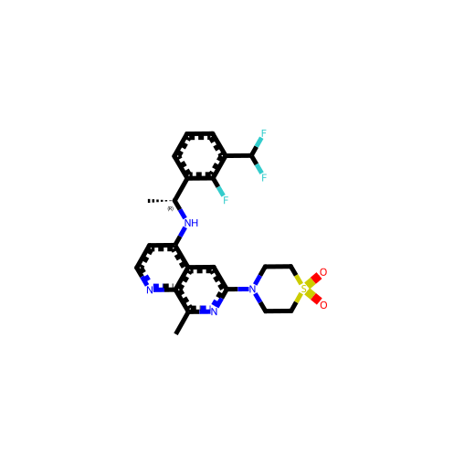 Cc1nc(N2CCS(=O)(=O)CC2)cc2c(N[C@H](C)c3cccc(C(F)F)c3F)ccnc12